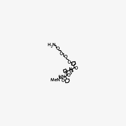 CNC(C)C(=O)NC(C(=O)N1CCC[C@H]1c1nc(C(=O)c2cccc(OCCOCCOCCOCCN)c2)cs1)C1CCCCC1